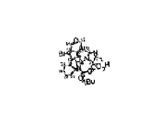 CCc1nc(C)c(C(=O)O)n1Cc1c2ccocc-2c(Br)c1-c1ccccc1NC(=O)OC(C)(C)C